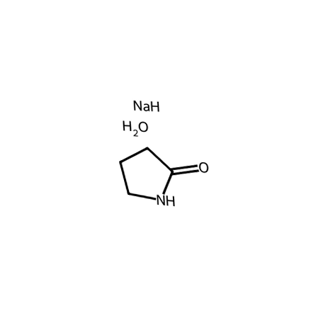 O.O=C1CCCN1.[NaH]